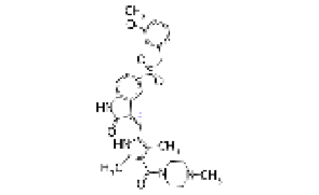 COc1cccc(CS(=O)(=O)c2ccc3c(c2)/C(=C/c2[nH]c(C)c(C(=O)N4CCN(C)CC4)c2C)C(=O)N3)c1